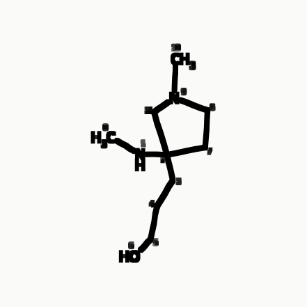 CNC1(CCCO)CCN(C)C1